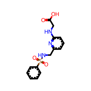 O=C(O)CNc1cccc(CNS(=O)(=O)c2ccccc2)n1